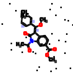 C#C\C=C/C(=C\C)C(/OC)=C1\C(=O)N(C(C)=O)c2cc(C(=O)OC)ccc21